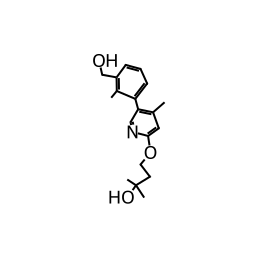 Cc1cc(OCCC(C)(C)O)ncc1-c1cccc(CO)c1C